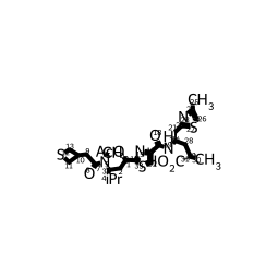 CC(=O)OC(CC(C(C)C)N(C)C(=O)CC1CSC1)c1nc(C(=O)N[C@@H](Cc2nc(C)cs2)C[C@H](C)C(=O)O)cs1